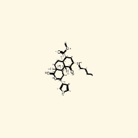 CCCCO[C@H]1C[C@@H](C(=O)OC)[C@]2(C)CC[C@H]3C(=O)O[C@@H](c4ccoc4)C[C@]3(C)[C@H]2C1=O